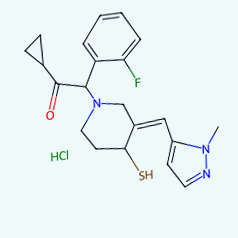 Cl.Cn1nccc1C=C1CN(C(C(=O)C2CC2)c2ccccc2F)CCC1S